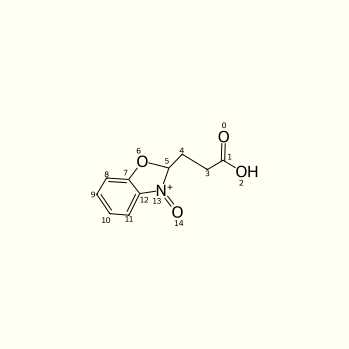 O=C(O)CCC1Oc2ccccc2[N+]1=O